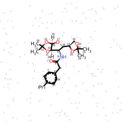 CC(C)c1ccc(CC(=O)N[C@H]2[C@H]3OC(C)(C)O[C@H]3O[C@@H]2[C@H]2COC(C)(C)O2)cc1